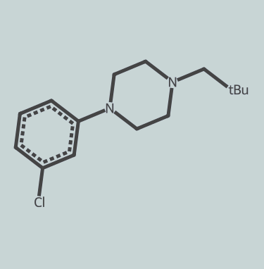 CC(C)(C)CN1CCN(c2cccc(Cl)c2)CC1